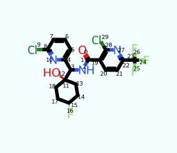 O=C(NC(c1cccc(Cl)n1)[C@]1(O)CC[C@H](F)CC1)c1ccc(C(F)(F)F)nc1Cl